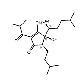 CC(C)CC[C@H](O)[C@@]1(O)C(O)=C(C(=O)C(C)C)C(=O)[C@@H]1CCC(C)C